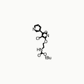 CC(C)(C)OC(=O)NCCOc1noc(-c2cccnc2)c1Cl